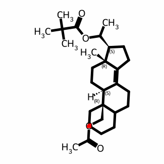 CC(=O)OC[C@]12CCCCC1CCC1=C3CC[C@H](C(C)OC(=O)C(C)(C)C)[C@@]3(C)CC[C@@H]12